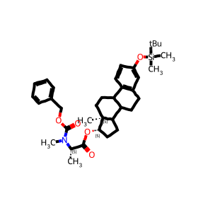 C[C@@H](C(=O)O[C@H]1CCC2C3CCc4cc(O[Si](C)(C)C(C)(C)C)ccc4C3CC[C@@]21C)N(C)C(=O)OCc1ccccc1